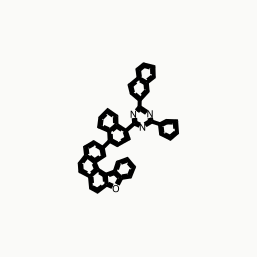 c1ccc(-c2nc(-c3ccc4ccccc4c3)nc(-c3ccc(-c4ccc5ccc6ccc7oc8ccccc8c7c6c5c4)c4ccccc34)n2)cc1